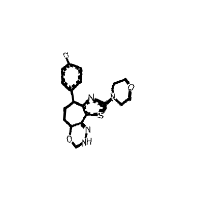 Clc1ccc(C2CCC3OCNN=C3c3sc(N4CCOCC4)nc32)cc1